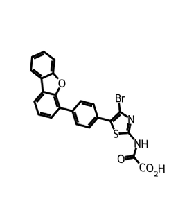 O=C(O)C(=O)Nc1nc(Br)c(-c2ccc(-c3cccc4c3oc3ccccc34)cc2)s1